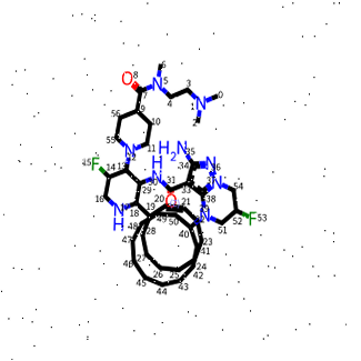 CN(C)CCN(C)C(=O)C1CCN(C2C(F)CNC(C3/C=C\CCCCCCC3)C2NC(=O)c2c(N)nn3c2N(C2CCCCCCCCCC2)CC(F)C3)CC1